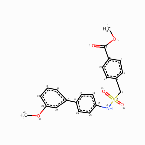 COC(=O)c1ccc(CS(=O)(=O)Nc2ccc(-c3cccc(OC)c3)cc2)cc1